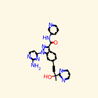 CC(O)(C#Cc1ccc2c(C(=O)Nc3cccnc3)nn(-c3ccnc(N)n3)c2c1)c1ncccn1